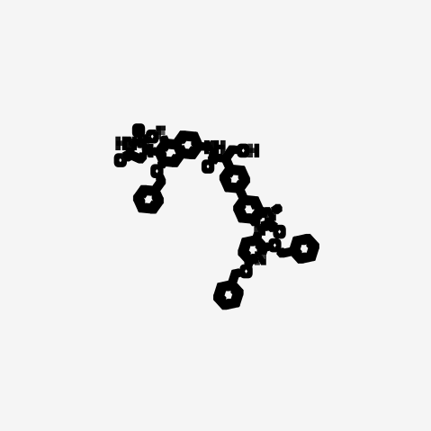 Cn1c(=O)n(-c2ccc(OCc3ccccc3)nc2OCc2ccccc2)c2ccc(-c3ccc(C(CO)C(=O)Nc4ccc5c(F)c(N6CC(=O)NS6(=O)=O)c(OCc6ccccc6)cc5c4)cc3)cc21